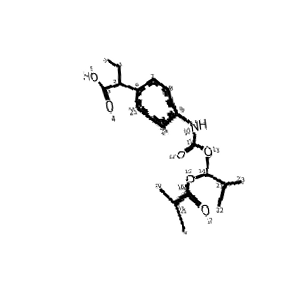 CCC(C(=O)O)c1ccc(NC(=O)O[C@H](OC(=O)C(C)C)C(C)C)cc1